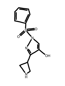 O=S(=O)(c1ccccc1)n1cc(O)c(C2CNC2)n1